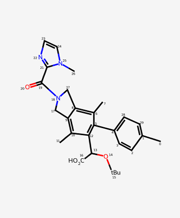 Cc1ccc(-c2c(C)c3c(c(C)c2C(OC(C)(C)C)C(=O)O)CN(C(=O)c2nccn2C)C3)cc1